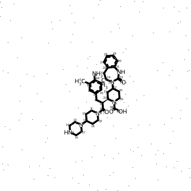 Cc1cc(CC(C(=O)N2CCC(N3CCNCC3)CC2)[C@H]2CC(N3CCc4ccccc4NC3=O)CCN2C(=O)O)cc(C)c1N